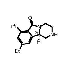 CCc1cc(C(C)C)c2c(c1)[C@@H]1CNCCN1C2=O